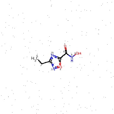 CCc1noc(C(=O)NO)n1